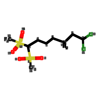 O=S(=O)(C(CCC[SiH2]CC(Cl)Cl)S(=O)(=O)C(F)(F)F)C(F)(F)F